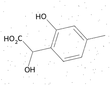 Cc1ccc(C(O)C(=O)O)c(O)c1